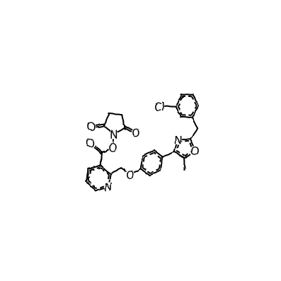 Cc1oc(Cc2cccc(Cl)c2)nc1-c1ccc(OCc2ncccc2C(=O)ON2C(=O)CCC2=O)cc1